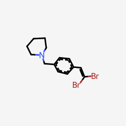 BrC(Br)=Cc1ccc(CN2CCCCC2)cc1